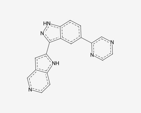 c1cnc(-c2ccc3[nH]nc(-c4cc5cnccc5[nH]4)c3c2)cn1